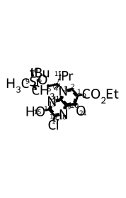 CCOC(=O)c1cn([C@H](CO[Si](C)(C)C(C)(C)C)C(C)C)c2nc(O)c(Cl)nc2c1=O